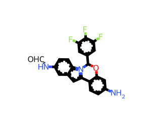 Nc1ccc2c(c1)OC(c1cc(F)c(F)c(F)c1)n1c-2cc2cc(NC=O)ccc21